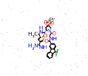 CC(NC(=O)[C@@H]1C[C@@H](S(=O)(=O)C(C)C)CN1C(=O)CNC(=O)c1ccc2c(c1)-c1ccccc1C2(F)F)c1cc(C(=N)N)cs1